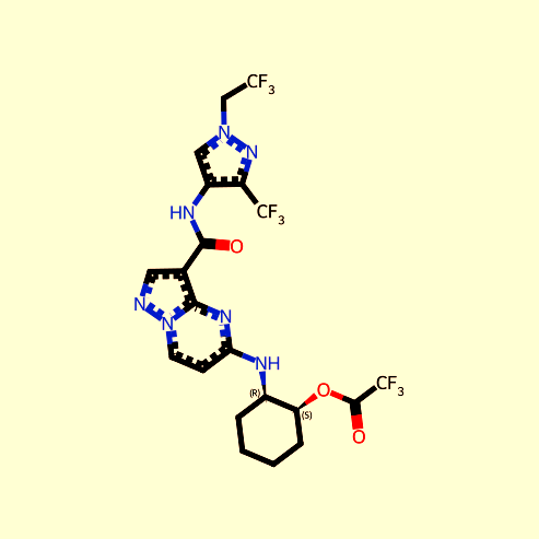 O=C(Nc1cn(CC(F)(F)F)nc1C(F)(F)F)c1cnn2ccc(N[C@@H]3CCCC[C@@H]3OC(=O)C(F)(F)F)nc12